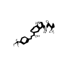 CC1(C(=O)Nc2c[nH]c3ccc(C(O)CCc4ccc(C(F)(F)F)cc4)cc23)CC1